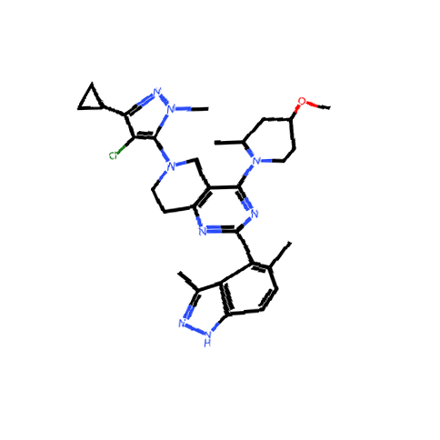 COC1CCN(c2nc(-c3c(C)ccc4[nH]nc(C)c34)nc3c2CN(c2c(Cl)c(C4CC4)nn2C)CC3)C(C)C1